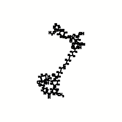 Cc1nc(Nc2ncc(C(=O)Nc3c(C)cccc3Cl)s2)cc(N2CCN(C(=O)CCCCCCCCCCCCCC(=O)NC(C(=O)N3C[C@H](O)C[C@H]3C(=O)NCc3ccc(-c4scnc4C)cc3)C(C)(C)C)CC2)n1